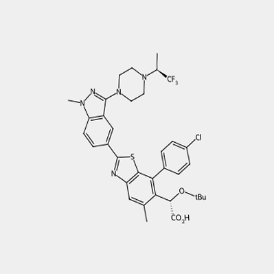 Cc1cc2nc(-c3ccc4c(c3)c(N3CCN([C@@H](C)C(F)(F)F)CC3)nn4C)sc2c(-c2ccc(Cl)cc2)c1[C@H](OC(C)(C)C)C(=O)O